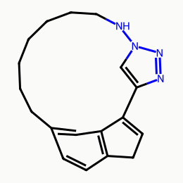 C1=C2c3cn(nn3)NCCCCCCCc3ccc(c2c3)C1